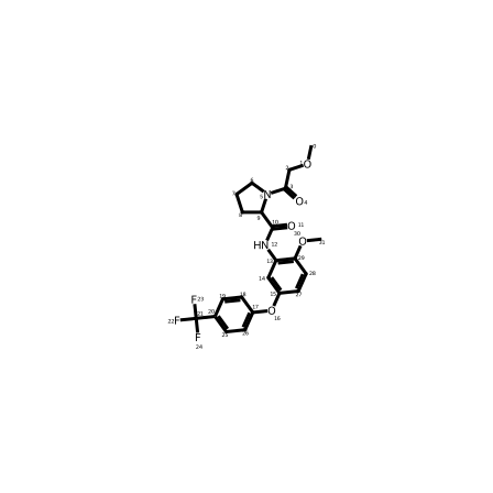 COCC(=O)N1CCCC1C(=O)Nc1cc(Oc2ccc(C(F)(F)F)cc2)ccc1OC